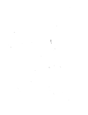 O=C(OC[C@H]1O[C@@H](Oc2cccc3c2CCCC3=O)[C@H](OC(=O)c2ccccc2)[C@@H]1OC(=O)c1ccccc1)c1ccccc1